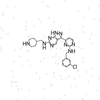 Clc1cccc(CNc2nccc(-c3n[nH]c4nc(NCC5CCNCC5)ncc34)n2)c1